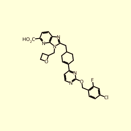 O=C(O)c1ccc2nc(CC3CC=C(c4ccnc(OCc5ccc(Cl)cc5F)n4)CC3)n(CC3CCO3)c2n1